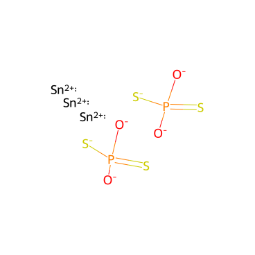 [O-]P([O-])(=S)[S-].[O-]P([O-])(=S)[S-].[Sn+2].[Sn+2].[Sn+2]